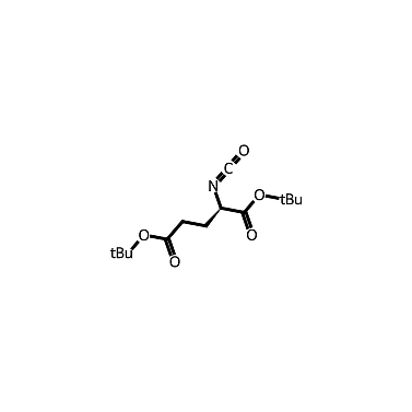 CC(C)(C)OC(=O)CC[C@@H](N=C=O)C(=O)OC(C)(C)C